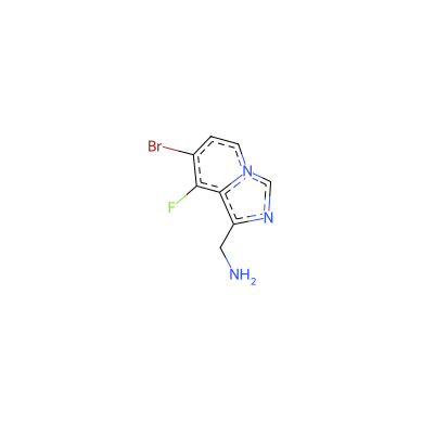 NCc1ncn2ccc(Br)c(F)c12